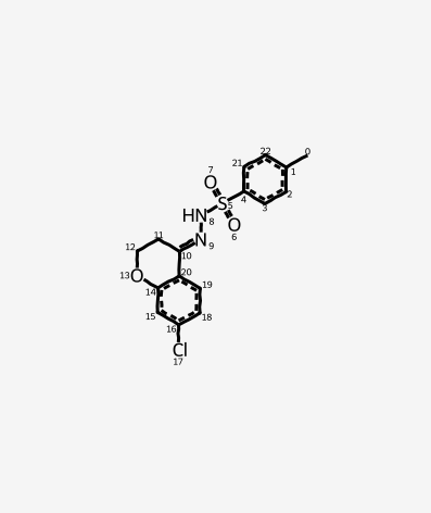 Cc1ccc(S(=O)(=O)NN=C2CCOc3cc(Cl)ccc32)cc1